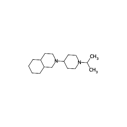 CC(C)N1CCC(N2CCC3CCCCC3C2)CC1